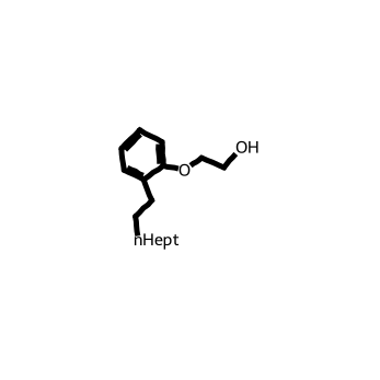 CCCCCCCCCc1ccccc1OCCO